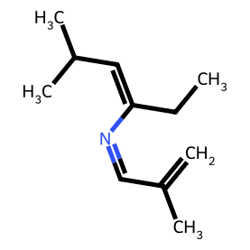 C=C(C)/C=N\C(=C/C(C)C)CC